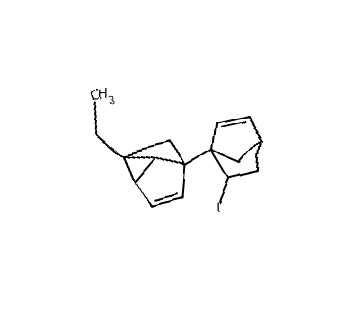 CCC12CC3(C45C=CC(CC4I)C5)C=CC1C23